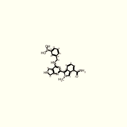 Cn1cc2c(C(N)=O)cccc2c1-c1nc2c(c(NCc3cccc(B(O)O)c3)n1)CNC2